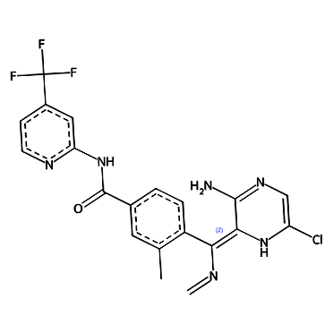 C=N/C(=C1\NC(Cl)=CN=C1N)c1ccc(C(=O)Nc2cc(C(F)(F)F)ccn2)cc1C